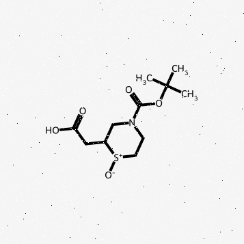 CC(C)(C)OC(=O)N1CC[S+]([O-])C(CC(=O)O)C1